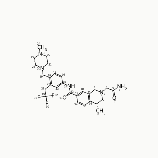 C[C@H]1CN(CC(N)=O)Cc2cc(C(=O)Nc3ccc(CN4CCN(C)CC4)c(CC(F)(F)F)c3)ccc21